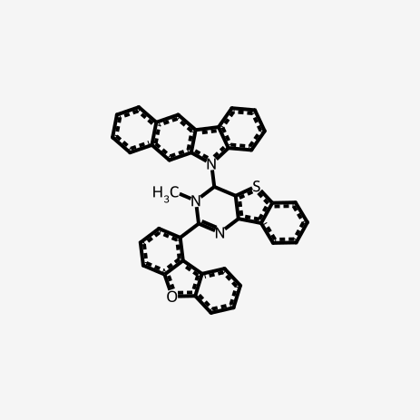 CN1C(c2cccc3oc4ccccc4c23)=Nc2c(sc3ccccc23)C1n1c2ccccc2c2cc3ccccc3cc21